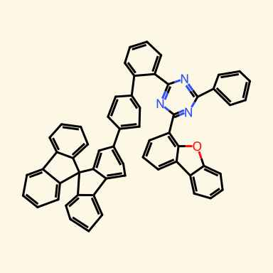 c1ccc(-c2nc(-c3ccccc3-c3ccc(-c4ccc5c(c4)C4(c6ccccc6-c6ccccc64)c4ccccc4-5)cc3)nc(-c3cccc4c3oc3ccccc34)n2)cc1